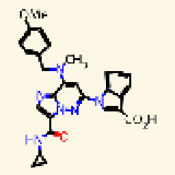 COc1ccc(CN(C)c2cc(-n3cc(C(=O)O)c4ccccc43)nn3c(C(=O)NC4CC4)cnc23)cc1